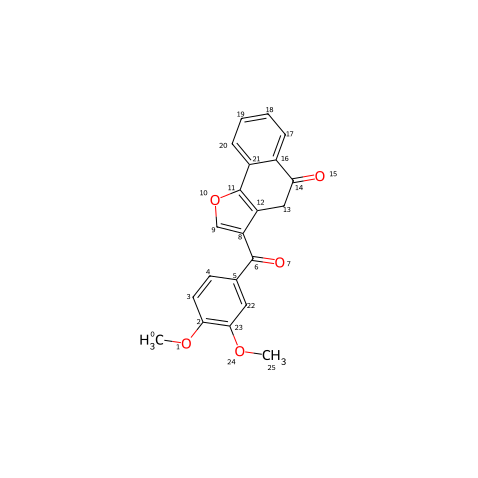 COc1ccc(C(=O)c2coc3c2CC(=O)c2ccccc2-3)cc1OC